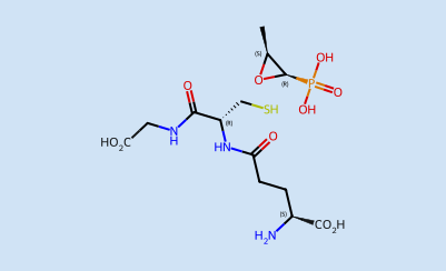 C[C@@H]1O[C@@H]1P(=O)(O)O.N[C@@H](CCC(=O)N[C@@H](CS)C(=O)NCC(=O)O)C(=O)O